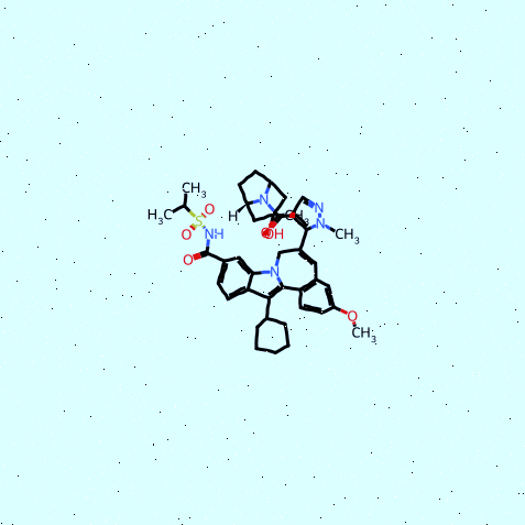 COc1ccc2c(c1)C=C(c1c(C(=O)N3C4CC[C@H]3C[C@@](C)(O)C4)cnn1C)Cn1c-2c(C2CCCCC2)c2ccc(C(=O)NS(=O)(=O)C(C)C)cc21